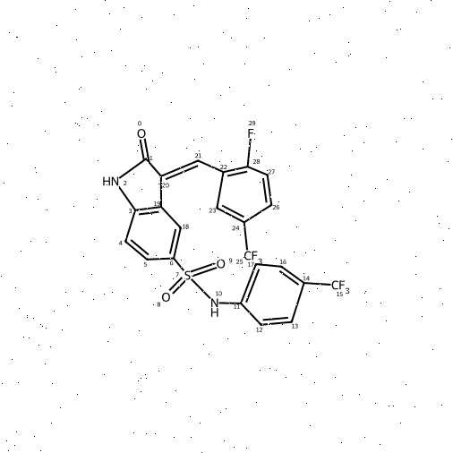 O=C1Nc2ccc(S(=O)(=O)Nc3ccc(C(F)(F)F)cc3)cc2C1=Cc1cc(C(F)(F)F)ccc1F